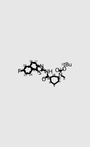 CN(C(=O)OC(C)(C)C)[C@@H]1CCC[C@H](C(=O)Nc2nc3ccc4cc(F)ccc4c3s2)C1